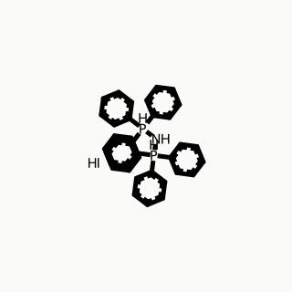 I.c1ccc([PH](N[PH](c2ccccc2)(c2ccccc2)c2ccccc2)(c2ccccc2)c2ccccc2)cc1